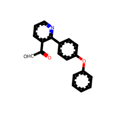 O=CC(=O)c1cccnc1-c1ccc(Oc2ccccc2)cc1